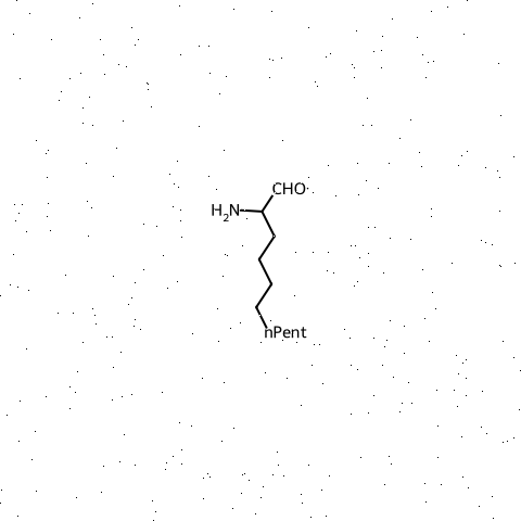 CCCCCCCCCC(N)[C]=O